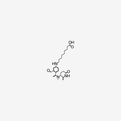 C=C1NC(=O)CCC1N(C)C(=C)c1ccc(NCCCCCCCCC(=O)O)cc1C=O